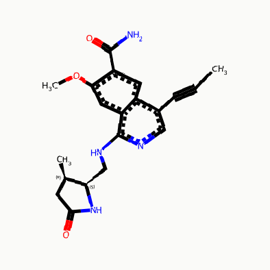 CC#Cc1cnc(NC[C@H]2NC(=O)C[C@H]2C)c2cc(OC)c(C(N)=O)cc12